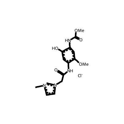 COC(=O)Nc1cc(OC)c(NC(=O)Cn2cc[n+](C)c2)cc1O.[Cl-]